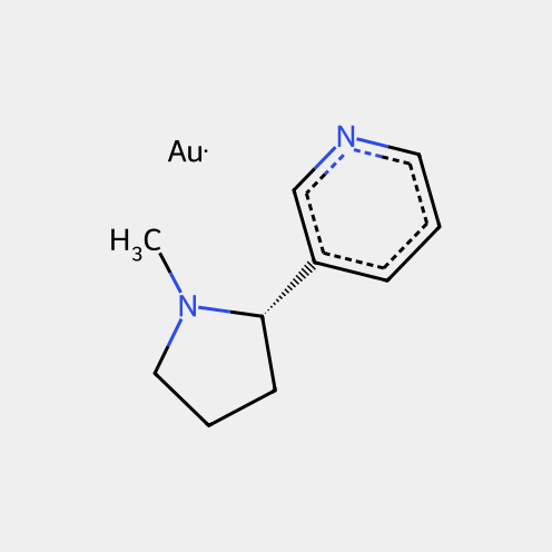 CN1CCC[C@H]1c1cccnc1.[Au]